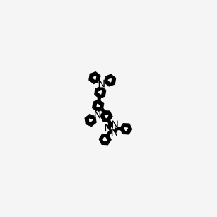 C1=CCCC(c2nc(-c3ccccc3)nc(-c3ccc4c5cc(-c6ccc(N(c7ccccc7)c7ccccc7)cc6)ccc5n(-c5ccccc5)c4c3)n2)=C1